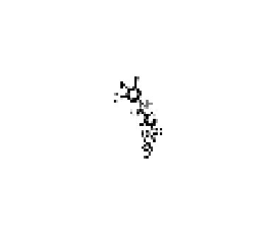 Cc1c(S(=O)(=O)NC2(C)COC2)cn(C)c1C(=O)Nc1cc(F)c(F)c(Cl)c1